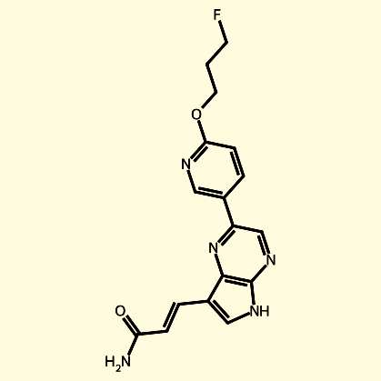 NC(=O)/C=C/c1c[nH]c2ncc(-c3ccc(OCCCF)nc3)nc12